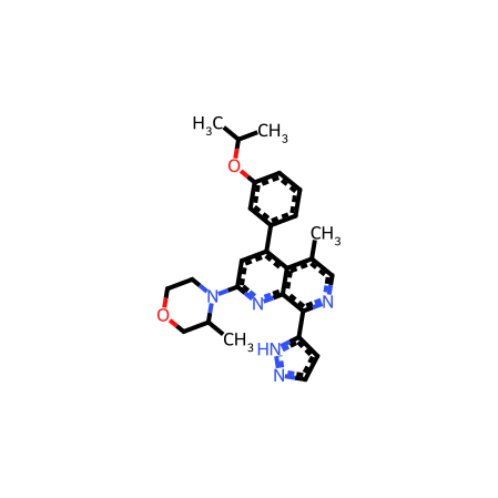 Cc1cnc(-c2ccn[nH]2)c2nc(N3CCOCC3C)cc(-c3cccc(OC(C)C)c3)c12